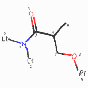 CCN(CC)C(=O)C(C)COC(C)C